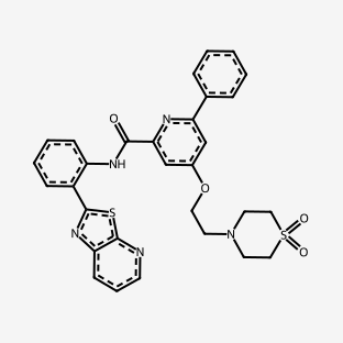 O=C(Nc1ccccc1-c1nc2cccnc2s1)c1cc(OCCN2CCS(=O)(=O)CC2)cc(-c2ccccc2)n1